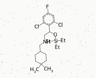 CC[Si](CC)(CC)OC(CNCC1CCC(C)(C)CC1)c1c(Cl)cc(F)cc1Cl